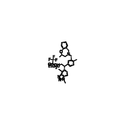 CCOC(=O)CC(c1ccc(C)c(CN2Cc3ccccc3OC(C)C2)c1)c1ccc2c(nnn2C)c1C.O=C(O)C(F)(F)F